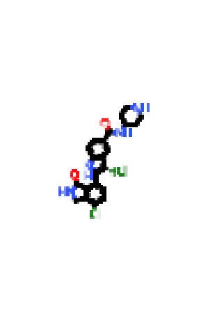 Cl.O=C(NC1CCNCC1)c1ccc2[nH]c(-c3ccc(Cl)c4c3C(=O)NC4)cc2c1